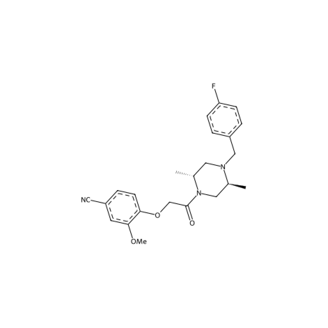 COc1cc(C#N)ccc1OCC(=O)N1C[C@H](C)N(Cc2ccc(F)cc2)C[C@H]1C